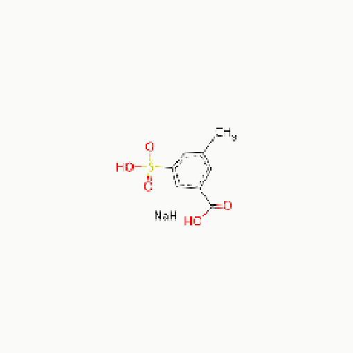 Cc1cc(C(=O)O)cc(S(=O)(=O)O)c1.[NaH]